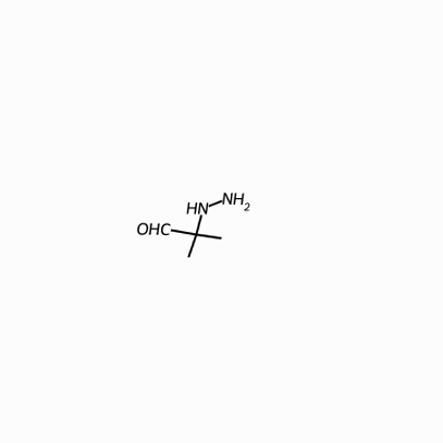 CC(C)(C=O)NN